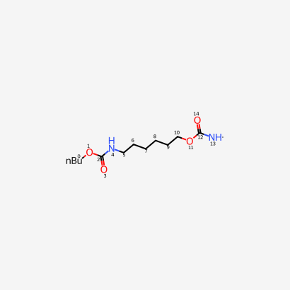 CCCCOC(=O)NCCCCCCOC([NH])=O